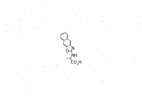 C[C@@H](Nc1nc2cc3ccccc3cc2o1)C(=O)O